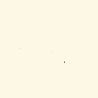 CO[C@H]1CN(C(=O)CCC(=O)OC(C)(C)C)CCc2nnn(C(C)(C)C)c2[C@@H]1OC